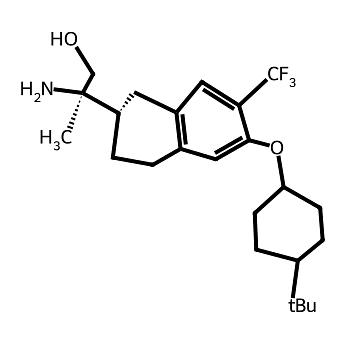 CC(C)(C)C1CCC(Oc2cc3c(cc2C(F)(F)F)C[C@@H]([C@@](C)(N)CO)CC3)CC1